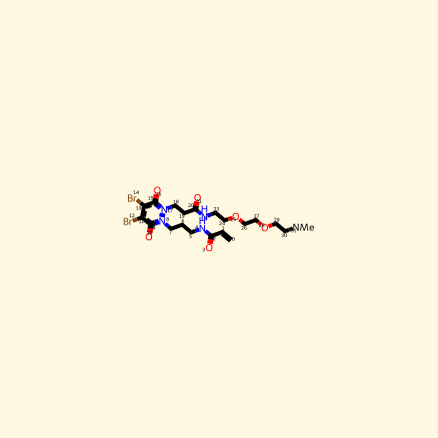 C=CC(=O)NCCCn1c(=O)c(Br)c(Br)c(=O)n1CCC(=O)NCCOCCOCCNC